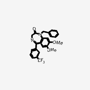 COc1cc2c(cc1OC)N(Cc1ccccc1)C(=O)CN=C2c1cccc(C(F)(F)F)c1